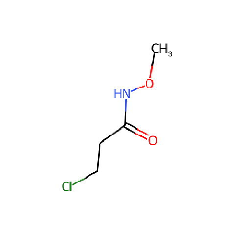 CONC(=O)CCCl